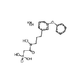 O=C(CP(=O)(O)O)N(O)CCCc1cccc(Oc2ccccc2)c1.[KH].[KH]